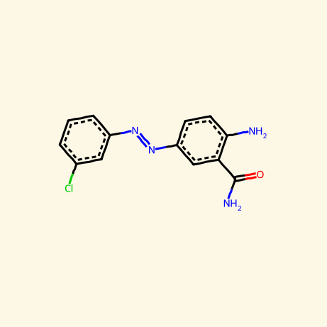 NC(=O)c1cc(N=Nc2cccc(Cl)c2)ccc1N